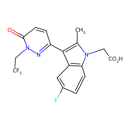 Cc1c(-c2ccc(=O)n(CC(F)(F)F)n2)c2cc(F)ccc2n1CC(=O)O